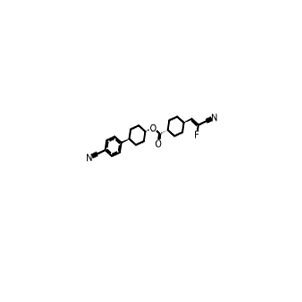 N#CC(F)=C[C@H]1CC[C@H](C(=O)O[C@H]2CC[C@H](c3ccc(C#N)cc3)CC2)CC1